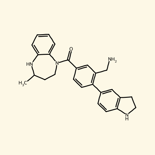 CC1CCN(C(=O)c2ccc(-c3ccc4c(c3)CCN4)c(CN)c2)c2ccccc2N1